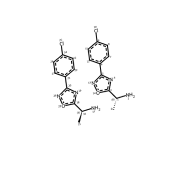 C[C@@H](N)c1nc(-c2ccc(Cl)cc2)no1.C[C@H](N)c1nc(-c2ccc(Cl)cc2)no1